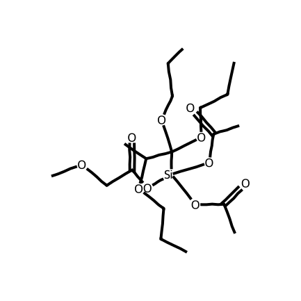 CCCOC(C)C(OCCC)(OCCC)[Si](OC(C)=O)(OC(C)=O)OC(=O)COC